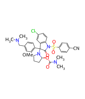 COc1cc(CN(C)C)ccc1C1(N2CCC[C@@H]2OC(=O)N(C)C)C(=O)N(S(=O)(=O)c2ccc(C#N)cc2)c2ccc(Cl)cc21